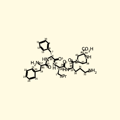 CC(C)C[C@@H](NC(=O)[C@@H](Cc1ccccc1)NC(=O)[C@H](N)Cc1ccccc1)C(=O)N[C@H](CCCN)C(=O)N1CCN[C@@H](C(=O)O)C1